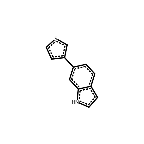 c1cc2ccc(-c3ccsc3)cc2[nH]1